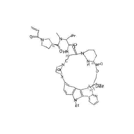 C=CC(=O)N1CC[C@H](C(=O)N(C)C(C(=O)N[C@H]2CN3CCN(C3=O)c3ccc4c(c3)c(c(-c3cccnc3[C@H](C)OC)n4CC)CC(C)(C)COC(=O)[C@@H]3CCCN(N3)C2=O)C(C)C)C1